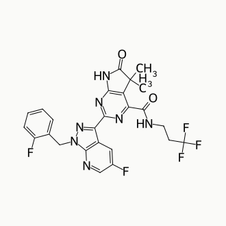 CC1(C)C(=O)Nc2nc(-c3nn(Cc4ccccc4F)c4ncc(F)cc34)nc(C(=O)NCCC(F)(F)F)c21